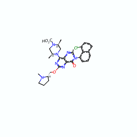 Cc1nc2c(N3C[C@H](C)N(C(=O)O)C[C@@H]3C)nc(OC[C@@H]3CCCN3C)nc2c(=O)n1-c1cccc2cccc(Cl)c12